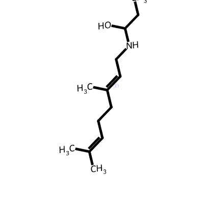 CCC(O)NC/C=C(\C)CCC=C(C)C